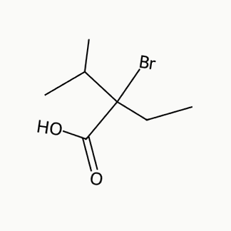 CCC(Br)(C(=O)O)C(C)C